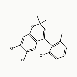 Cc1ccc[n+]([O-])c1C1=NC(C)(C)Oc2cc(Cl)c(Br)cc21